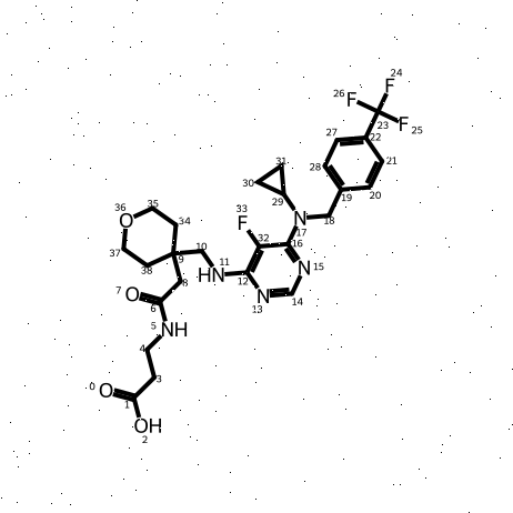 O=C(O)CCNC(=O)CC1(CNc2ncnc(N(Cc3ccc(C(F)(F)F)cc3)C3CC3)c2F)CCOCC1